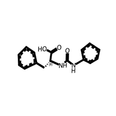 O=C(Nc1ccccc1)N[C@H](Cc1ccccc1)C(=O)O